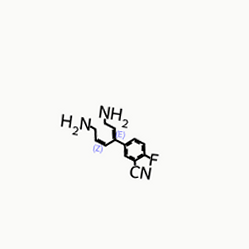 N#Cc1cc(C(/C=C\CN)=C/CN)ccc1F